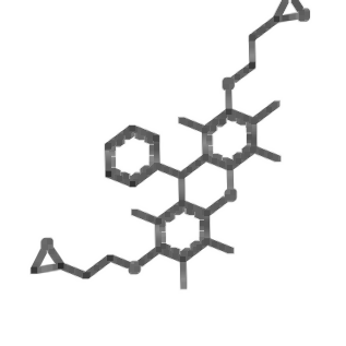 Cc1c(C)c2c(c(C)c1OCCC1CO1)C(c1ccccc1)c1c(C)c(OCCC3CO3)c(C)c(C)c1O2